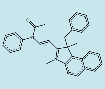 CC(=O)N(/C=C/C1=[N+](C)c2ccc3ccccc3c2C1(C)Cc1ccccc1)c1ccccc1